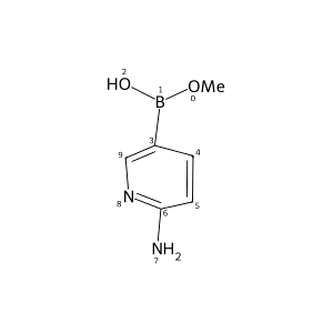 COB(O)c1ccc(N)nc1